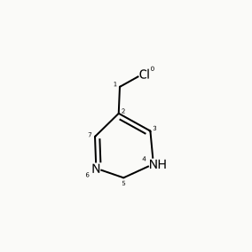 ClCC1=CNCN=C1